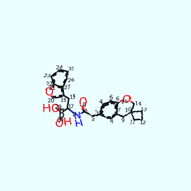 O=C(Cc1ccc2c(c1)CC1(CCC1)CO2)NC(Cc1coc2ccccc12)B(O)O